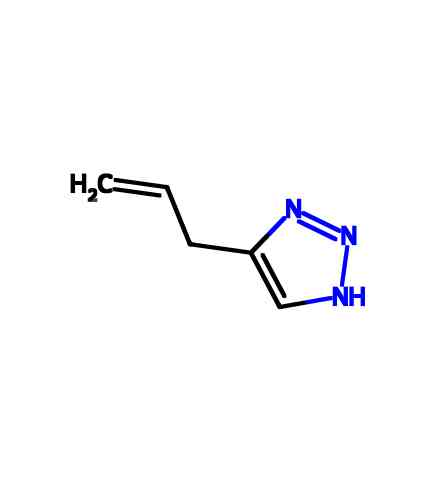 C=CCc1c[nH]nn1